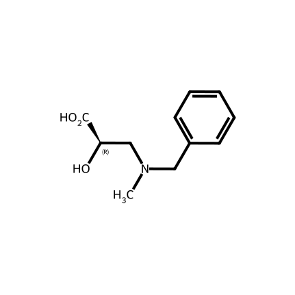 CN(Cc1ccccc1)C[C@@H](O)C(=O)O